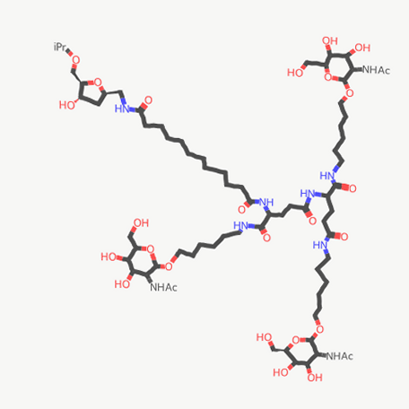 CC(=O)NC1C(OCCCCCCNC(=O)C(CCC(=O)NCCCCCCOC2O[C@H](CO)C(O)C(O)C2NC(C)=O)NC(=O)CCC(NC(=O)CCCCCCCCCCC(=O)NC[C@H]2C[C@H](O)[C@@H](COC(C)C)O2)C(=O)NCCCCCCOC2OC(CO)C(O)C(O)C2NC(C)=O)OC(CO)C(O)C1O